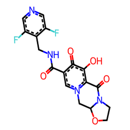 O=C(NCc1c(F)cncc1F)c1cn2c(c(O)c1=O)C(=O)N1CCOC1C2